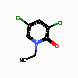 N#CCn1cc(Cl)cc(Cl)c1=O